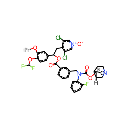 CC(C)Oc1cc(C(Cc2c(Cl)c[n+]([O-])cc2Cl)OC(=O)c2cccc(CN(C(=O)O[C@H]3CN4CCC3CC4)c3ccccc3F)c2)ccc1OC(F)F